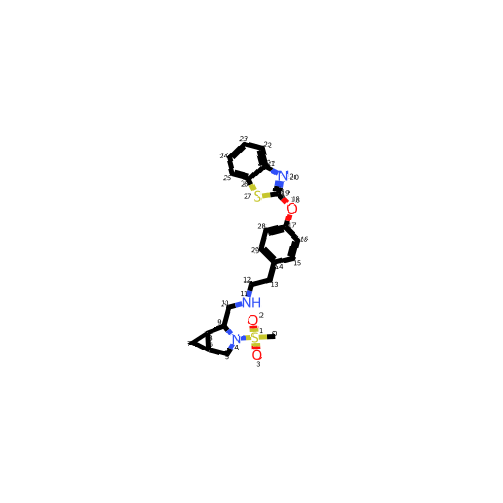 CS(=O)(=O)N1CC2CC2C1CNCCc1ccc(Oc2nc3ccccc3s2)cc1